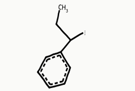 [C]C(CC)c1ccccc1